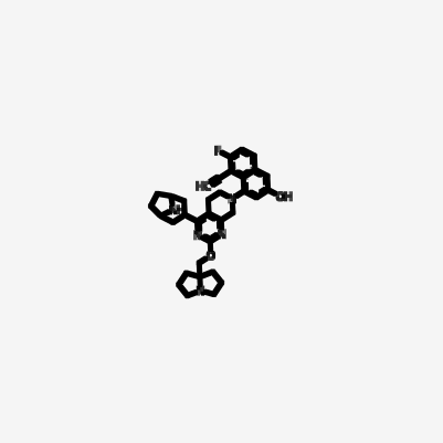 C#Cc1c(F)ccc2cc(O)cc(N3CCc4c(nc(OCC56CCCN5CCC6)nc4C4CC5CCC(C4)N5)C3)c12